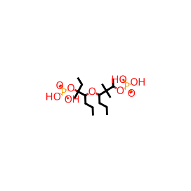 CCCC(OC(CCC)C(C)(C)C(C)OP(=O)(O)O)C(C)(CC)OP(=O)(O)O